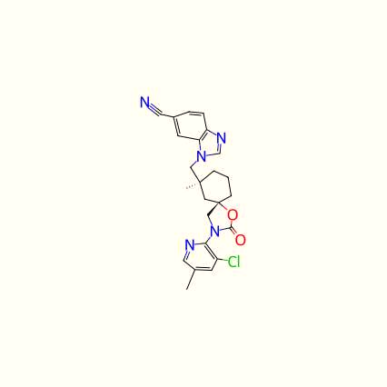 Cc1cnc(N2C[C@@]3(CCC[C@](C)(Cn4cnc5ccc(C#N)cc54)C3)OC2=O)c(Cl)c1